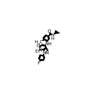 CCn1c(=O)cc(Nc2cc(C(=O)NC3CC3)ccc2C)c2cnn(-c3ccc(F)cc3)c21